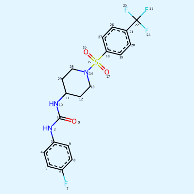 O=C(Nc1ccc(F)cc1)NC1CCN(S(=O)(=O)c2ccc(C(F)(F)F)cc2)CC1